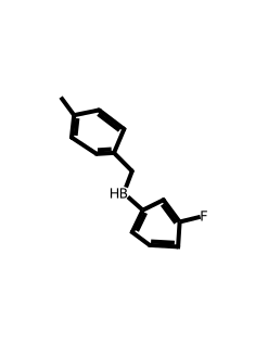 Cc1ccc(CBc2cccc(F)c2)cc1